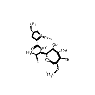 CC[C@@H]1C[C@@H](C(=O)N[C@@H]([C@H]2O[C@H](SC)[C@H](O)[C@@H](O)[C@H]2O)[C@H](C)Cl)N(C)C1